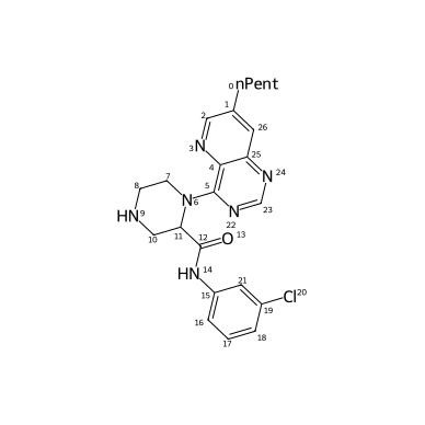 CCCCCc1cnc2c(N3CCNCC3C(=O)Nc3cccc(Cl)c3)ncnc2c1